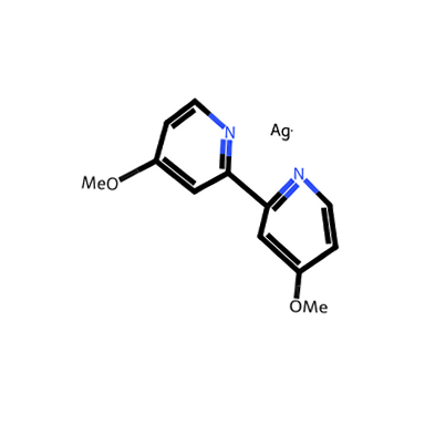 COc1ccnc(-c2cc(OC)ccn2)c1.[Ag]